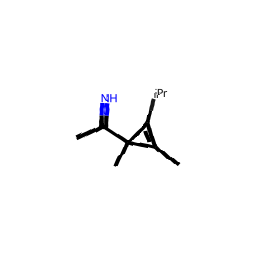 CC(=N)C1(C)C(C)=C1C(C)C